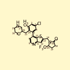 Cc1cc(Cl)cc(-c2ccnc3cc(CN4C(=O)CCC4C(F)(F)F)sc23)c1CC1CNCCO1